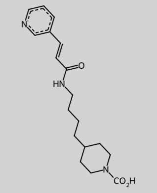 O=C(C=Cc1cccnc1)NCCCCC1CCN(C(=O)O)CC1